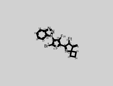 C=C1C(CC)C(c2sc(Br)c(-n3nnc4ccccc43)c2F)=NC12CCC2